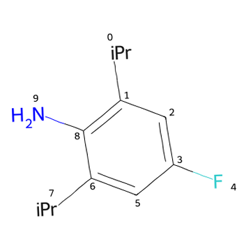 CC(C)c1cc(F)cc(C(C)C)c1N